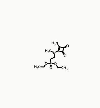 CCOP(=O)(CCN(C)c1c(N)c(=O)c1=O)OCC